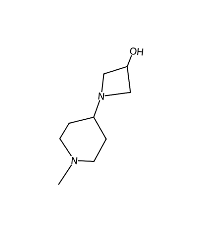 CN1CCC(N2CC(O)C2)CC1